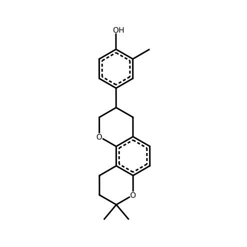 Cc1cc(C2COc3c(ccc4c3CCC(C)(C)O4)C2)ccc1O